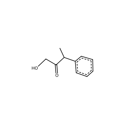 CC(C(=O)CO)c1ccccc1